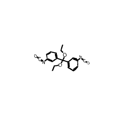 CCOC(OCC)(c1cccc(N=C=O)c1)c1cccc(N=C=O)c1